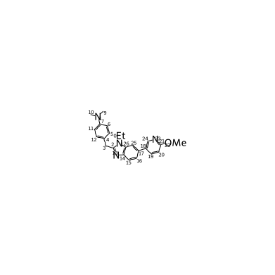 CCn1c(Cc2ccc(N(C)C)cc2)nc2ccc(-c3ccc(OC)nc3)cc21